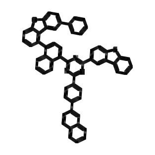 c1ccc(-c2ccc3oc4cccc(-c5ccc(-c6nc(-c7ccc(-c8ccc9ccccc9c8)cc7)nc(-c7ccc8sc9ccccc9c8c7)n6)c6ccccc56)c4c3c2)cc1